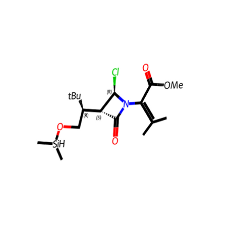 COC(=O)C(=C(C)C)N1C(=O)[C@H]([C@@H](CO[SiH](C)C)C(C)(C)C)[C@H]1Cl